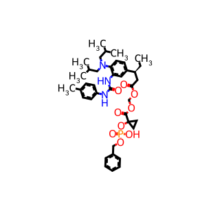 CC[C@@H](CC(=O)OCOC(=O)C1(OP(=O)(O)OCc2ccccc2)CC1)c1ccc(N(CC(C)C)CC(C)C)c(NC(=O)Nc2ccc(C)cc2)c1